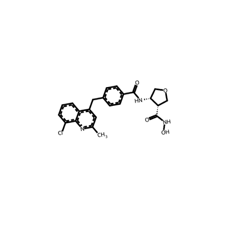 Cc1cc(Cc2ccc(C(=O)N[C@@H]3COC[C@@H]3C(=O)NO)cc2)c2cccc(Cl)c2n1